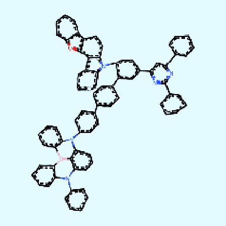 c1ccc(-c2cc(-c3ccc(-n4c5ccccc5c5c6oc7ccccc7c6ccc54)c(-c4ccc(-c5ccc(N6c7ccccc7B7c8ccccc8N(c8ccccc8)c8cccc6c87)cc5)cc4)c3)nc(-c3ccccc3)n2)cc1